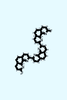 Fc1ccc2ccc3ccc(-c4ccc5ccc6ccc(-c7ccc8ccc9ccc(F)nc9c8n7)nc6c5n4)nc3c2n1